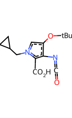 CC(C)(C)Oc1cn(CC2CC2)c(C(=O)O)c1N=C=O